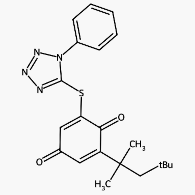 CC(C)(C)CC(C)(C)C1=CC(=O)C=C(Sc2nnnn2-c2ccccc2)C1=O